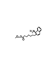 COCOC(=O)CCCCCCc1ccc2ccccc2c1N